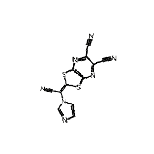 N#CC(=C1Sc2nc(C#N)c(C#N)nc2S1)n1ccnc1